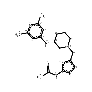 CC(=O)Nc1ncc(CN2CCC[C@@H](Nc3cc(C)nc(C)c3)C2)s1